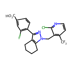 O=C(O)c1ccc(-c2nn(Cc3c(C(F)(F)F)ccnc3Cl)c3c2CCCC3)c(F)c1